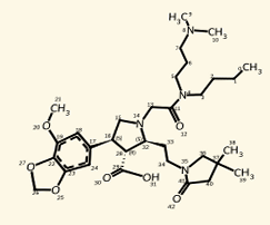 CCCCN(CCCN(C)C)C(=O)CN1C[C@H](c2cc(OC)c3c(c2)OCO3)[C@@H](C(=O)O)[C@@H]1CCN1CC(C)(C)CC1=O